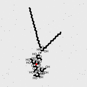 CCCCCCCCCCCCC/C=C/[C@@H](O)[C@H](CO[C@@H]1OC(CO)[C@@H](O[C@@H]2OC(CO)[C@H](O)[C@H](O[C@@H]3OC(CO)[C@@H](O[C@H]4OC(C)[C@@H](O)C(O)[C@@H]4O)[C@H](O[C@@H]4OC(CO)[C@H](O)[C@H](O)C4O)C3NC(C)=O)C2O)[C@H](O)C1O)NC(=O)CCCCCCCCCCCCCCCCCCCCCCCCC